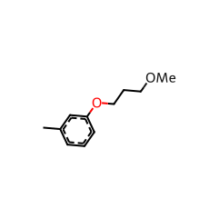 COCCCOc1cccc(C)c1